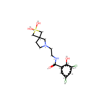 O=C(NCCN1CCC2(C1)CS(O)(O)C2)c1cc(Cl)cc(Cl)c1O